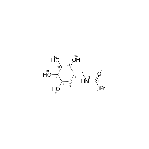 CC(C)C(=O)NCC1OC(O)C(O)C(O)C1O